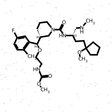 CNC[C@H](CCC1(OC)CCCC1)NC(=O)N1CCC[C@@H]([C@@H](OCCNC(=O)OC)c2cc(F)ccc2C)C1